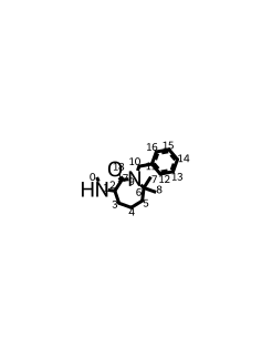 CNC1CCCC(C)(C)N(Cc2ccccc2)C1=O